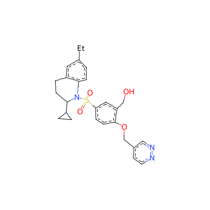 CCc1ccc2c(c1)CCC(C1CC1)N2S(=O)(=O)c1ccc(OCc2ccnnc2)c(CO)c1